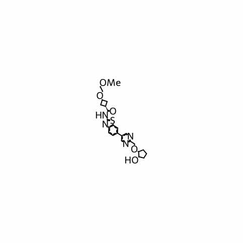 COCCO[C@H]1C[C@@H](C(=O)Nc2nc3ccc(-c4cnc(CO[C@H]5CCC[C@@H]5O)nc4)cc3s2)C1